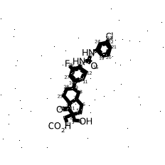 O=C(O)CC1(CO)CCC2CC(c3ccc(NC(=O)Nc4cccc(Cl)c4)c(F)c3)CCC2C1=O